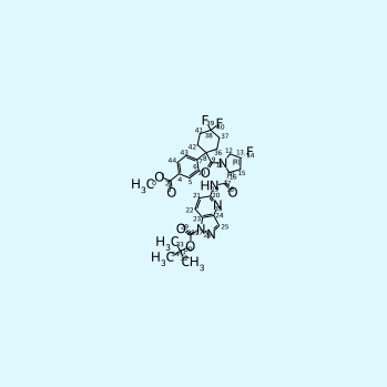 COC(=O)c1ccc(C2(C(=O)N3C[C@H](F)C[C@@H]3C(=O)Nc3ccc4c(cnn4C(=O)OC(C)(C)C)n3)CCC(F)(F)CC2)cc1